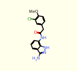 COc1ccc(CC(=O)Nc2cccc3c(N)n[nH]c23)cc1Cl